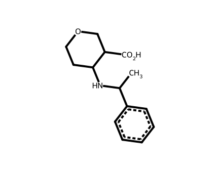 CC(NC1CCOCC1C(=O)O)c1ccccc1